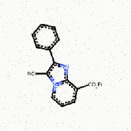 CCOC(=O)c1cccn2c(C#N)c(-c3ccccc3)nc12